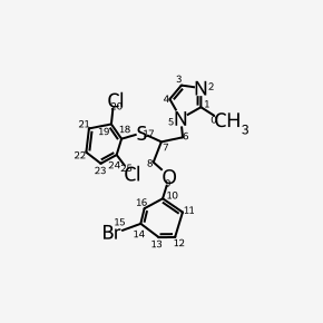 Cc1nccn1CC(COc1cccc(Br)c1)Sc1c(Cl)cccc1Cl